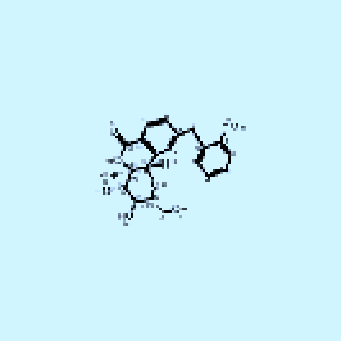 COc1ccccc1Cc1ccc2c(c1)[C@@H]1O[C@H](CO)[C@@H](O)[C@H](O)[C@H]1OC2=O